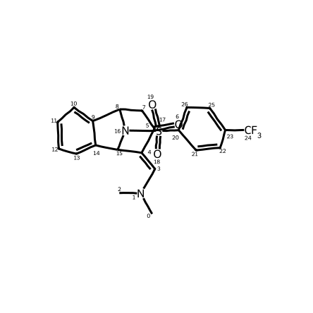 CN(C)/C=C1/C(=O)CC2c3ccccc3C1N2S(=O)(=O)c1ccc(C(F)(F)F)cc1